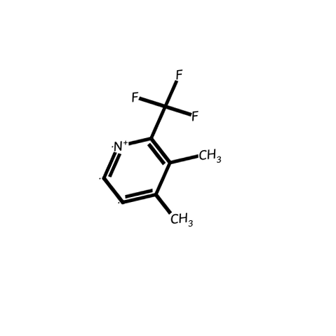 CC1=[C][C]=[N+]C(C(F)(F)F)=C1C